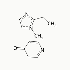 CCc1nccn1C.O=C1C=CN=CC1